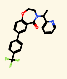 CC(c1ccccn1)N1CCOc2ccc(-c3ccc(C(F)(F)F)cc3)cc2C1=O